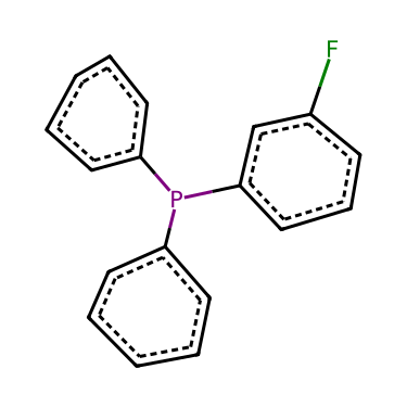 Fc1cccc(P(c2ccccc2)c2ccccc2)c1